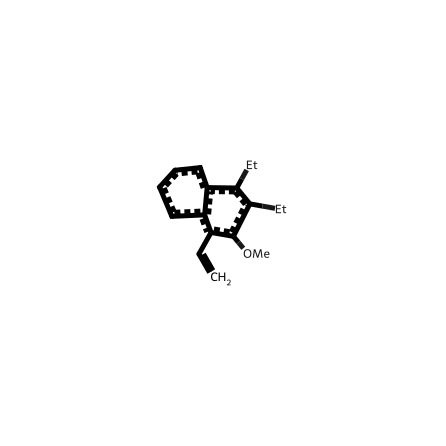 C=Cc1c(OC)c(CC)c(CC)c2ccccc12